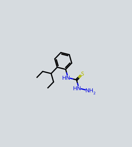 CCC(CC)c1ccccc1NC(=S)NN